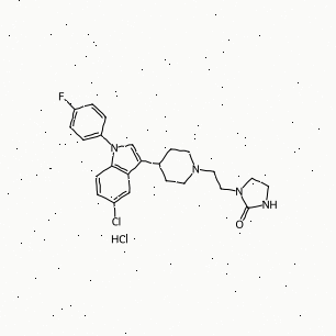 Cl.O=C1NCCN1CCN1CCC(c2cn(-c3ccc(F)cc3)c3ccc(Cl)cc23)CC1